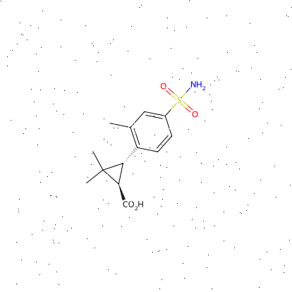 Cc1cc(S(N)(=O)=O)ccc1[C@@H]1[C@@H](C(=O)O)C1(C)C